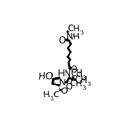 CCNC(=O)CCCCCCC(=O)N[C@H](C(=O)N1C[C@H](O)C[C@H]1C(C)=O)C(C)(C)C